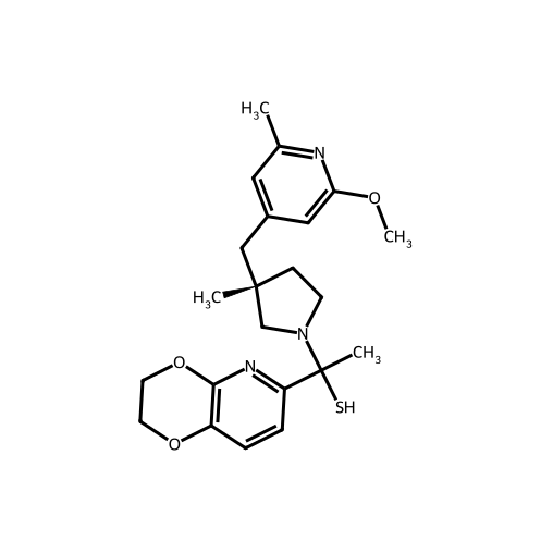 COc1cc(C[C@]2(C)CCN(C(C)(S)c3ccc4c(n3)OCCO4)C2)cc(C)n1